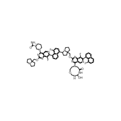 NC(=O)[C@H]1CCCN(c2nc(OCC34CCCN3CCC4)nc3c(F)c(-c4cccc5c(C6CCC7(COc8nc(N9CCOCNC(O)NC(=O)C9)c9cnc(-c%10cccc%11cccc(F)c%10%11)c(F)c9n8)CCCN67)ccc(F)c45)ncc23)C1